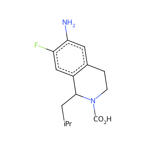 CC(C)CC1c2cc(F)c(N)cc2CCN1C(=O)O